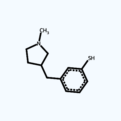 CN1CCC(Cc2cccc(S)c2)C1